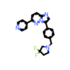 FC1(F)CCN(Cc2ccc(-c3cnc4ccc(-c5ccncc5)nn34)cc2)C1